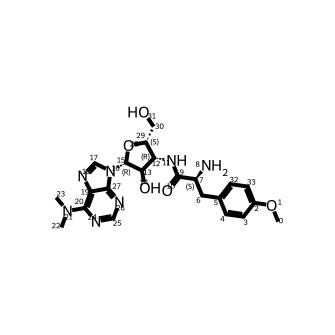 COc1ccc(C[C@H](N)C(=O)N[C@@H]2C(O)[C@H](n3cnc4c(N(C)C)ncnc43)O[C@@H]2CO)cc1